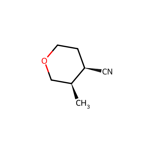 C[C@H]1COCC[C@H]1C#N